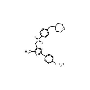 Cc1oc(-c2ccc(C(=O)O)cc2)nc1CS(=O)(=O)c1ccc(CN2CCOCC2)cc1